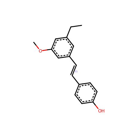 CCc1cc(/C=C/c2ccc(O)cc2)cc(OC)c1